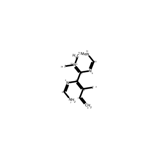 C=C/C(I)=C(\N=C/N)C(/N=C\NC)=[N+](/C)I